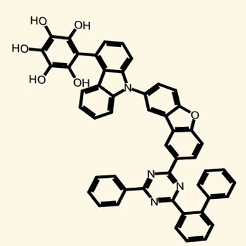 Oc1c(O)c(O)c(-c2cccc3c2c2ccccc2n3-c2ccc3oc4ccc(-c5nc(-c6ccccc6)nc(-c6ccccc6-c6ccccc6)n5)cc4c3c2)c(O)c1O